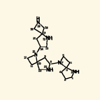 C1CNC2(C1)CCN2C1CC2(CCN2C2CNC3(CNC3)C2)CN1